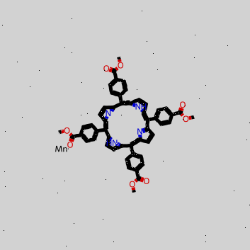 COC(=O)c1ccc(-c2c3nc(c(-c4ccc(C(=O)OC)cc4)c4ccc([nH]4)c(-c4ccc(C(=O)OC)cc4)c4nc(c(-c5ccc(C(=O)OC)cc5)c5ccc2[nH]5)C=C4)C=C3)cc1.[Mn]